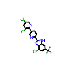 FC(F)(F)c1cc(Cl)c2nc(-c3ccc(-c4ncc(Cl)cc4Cl)cn3)[nH]c2c1